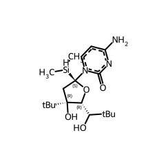 C[SiH](C)[C@]1(n2ccc(N)nc2=O)C[C@@](O)(C(C)(C)C)[C@@H](C(O)C(C)(C)C)O1